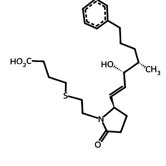 C[C@@H](CCCc1ccccc1)[C@@H](O)C=C[C@H]1CCC(=O)N1CCSCCCC(=O)O